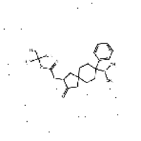 CN(C)C1(c2ccccc2)CCC2(CC1)CC(=O)N(CC(=O)OC(C)(C)C)C2